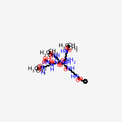 CC(C)(C)OC(=O)NCCCC[C@H](NC(=O)CNC(=O)[C@H](CCCCNC(=O)OC(C)(C)C)NC(=O)[C@H](CCC(=O)NCCCCCCNCC(=O)OCc1ccccc1)NC(=O)[C@@H](N)CCCCNC(=O)OC(C)(C)C)C(=O)NCC(=O)O